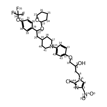 O=[N+]([O-])c1cn(CCC(O)COc2ccc(N3CCC(CC(OC4CCCCO4)c4ccc(OC(F)(F)F)cc4)CC3)cc2)c(Cl)n1